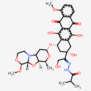 COc1cccc2c1C(=O)c1c(O)c3c(c(O)c1C2=O)C[C@@](O)(/C(CO)=N/NC(=O)C(C)C)C[C@@H]3O[C@H]1CC2[C@H](O[C@@H]3[C@@H](OC)OCCN23)[C@H](C)O1